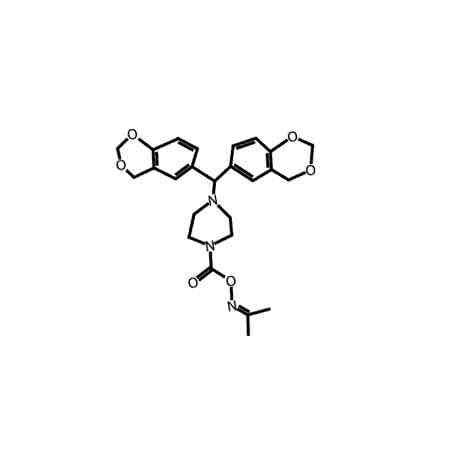 CC(C)=NOC(=O)N1CCN(C(c2ccc3c(c2)COCO3)c2ccc3c(c2)COCO3)CC1